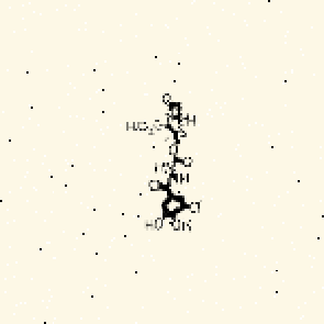 C[C@@]1(COC(=O)NNC(=O)c2cc(O)c(O)c(Cl)c2)S[C@@H]2CC(=O)N2[C@H]1C(=O)O